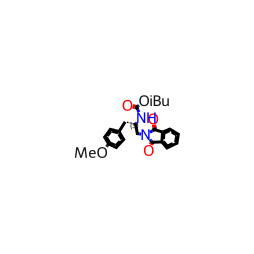 COc1ccc(C[C@@H](CN2C(=O)c3ccccc3C2=O)NC(=O)OCC(C)C)cc1